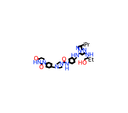 CC[C@@H](CO)Nc1cc(NCc2ccc(NC(=O)N3CCN(Cc4ccc(N5CCC(=O)NC5=O)cc4)CC3)cc2)n2ncc(C(C)C)c2n1